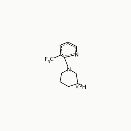 [2H][C@H]1CCCN(c2ncccc2C(F)(F)F)C1